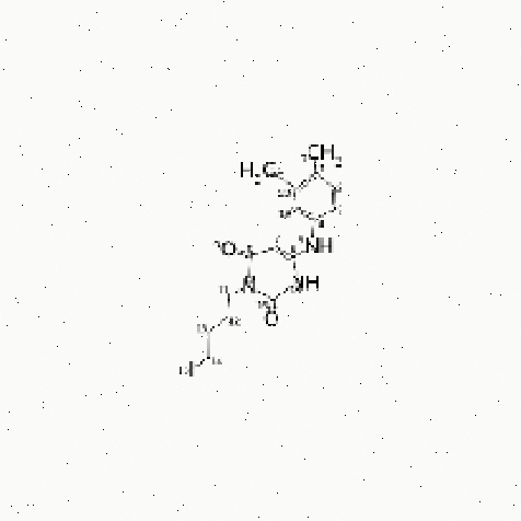 Cc1ccc(Nc2cc(=O)n(CCCCI)c(=O)[nH]2)cc1C